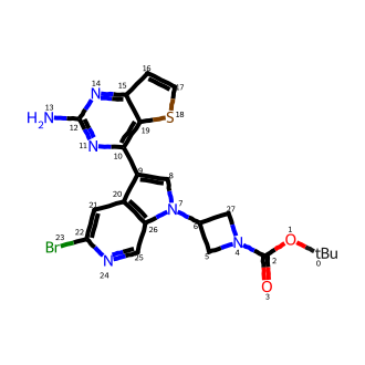 CC(C)(C)OC(=O)N1CC(n2cc(-c3nc(N)nc4ccsc34)c3cc(Br)ncc32)C1